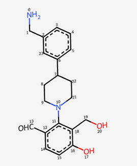 NCc1cccc(C2CCN(c3c(C=O)ccc(O)c3CO)CC2)c1